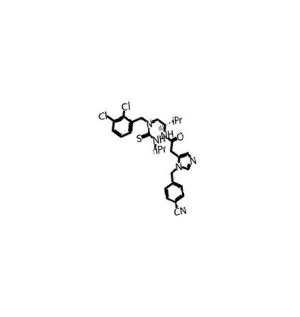 CCCNC(=S)N(Cc1cccc(Cl)c1Cl)C[C@@H](NC(=O)Cc1cncn1Cc1ccc(C#N)cc1)C(C)C